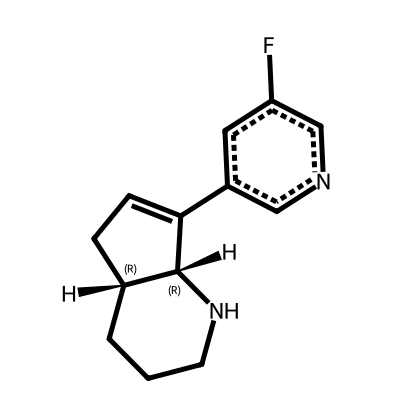 Fc1cncc(C2=CC[C@H]3CCCN[C@@H]23)c1